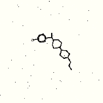 CCCC1CCC(C2CCC(C(C)c3ccc(Cl)cc3)CC2)CC1